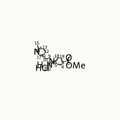 COC(=O)c1ccc(N(N)CCc2ccc(C)nc2)cc1.Cl